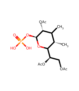 CC(=O)OC[C@@H](OC(C)=O)C1O[C@@H](OP(=O)(O)O)[C@H](OC(C)=O)C(C)[C@@H]1C